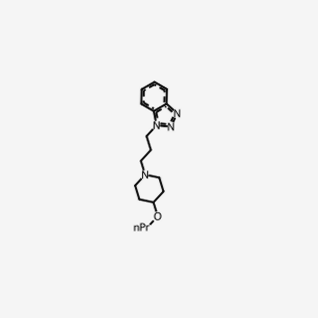 CCCOC1CCN(CCCn2nnc3ccccc32)CC1